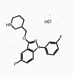 Cl.Fc1cccc(-n2nc(OCC3CCCNC3)c3cc(F)ccc32)c1